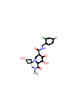 CN1C[C@]2(C[C@@H](O)C2)n2cc(C(=O)NCc3ccc(F)cc3F)c(=O)c(O)c2C1=O